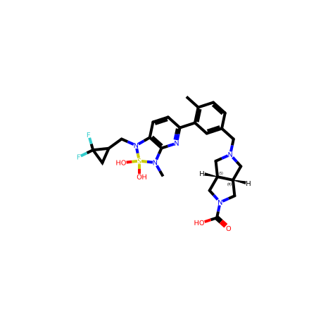 Cc1ccc(CN2C[C@@H]3CN(C(=O)O)C[C@@H]3C2)cc1-c1ccc2c(n1)N(C)S(O)(O)N2CC1CC1(F)F